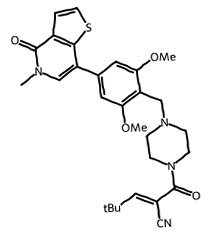 COc1cc(-c2cn(C)c(=O)c3ccsc23)cc(OC)c1CN1CCN(C(=O)C(C#N)=CC(C)(C)C)CC1